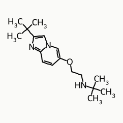 CC(C)(C)NCCOc1ccc2nc(C(C)(C)C)cn2c1